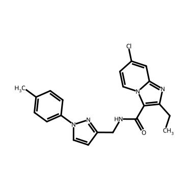 CCc1nc2cc(Cl)ccn2c1C(=O)NCc1ccn(-c2ccc(C)cc2)n1